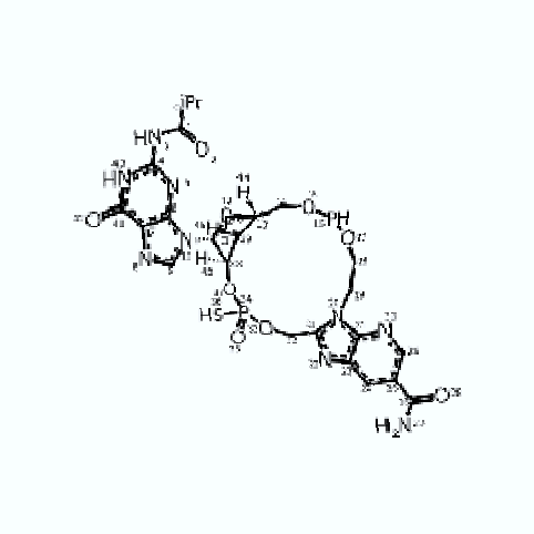 CC(C)C(=O)Nc1nc2c(ncn2[C@@H]2O[C@@H]3COPOCCn4c(nc5cc(C(N)=O)cnc54)COP(=O)(S)O[C@@H]2[C@@H]3F)c(=O)[nH]1